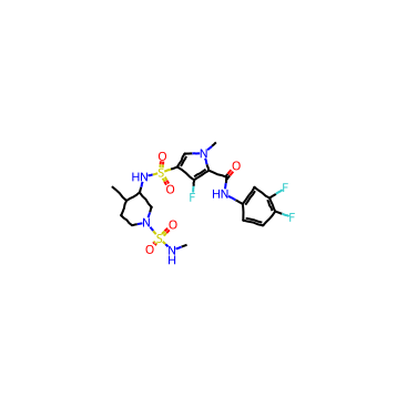 CNS(=O)(=O)N1CCC(C)C(NS(=O)(=O)c2cn(C)c(C(=O)Nc3ccc(F)c(F)c3)c2F)C1